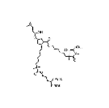 CCCCCCCCC(CCCCCCCC)N(C)C(=O)C(C)(C)CCCCCCOC(=O)[C@@H]1C[C@H](OC(O)CCN(C)C)CN1CCCCCCC(C)(C)C(=O)OCCCC(CCCCC)CCCCC